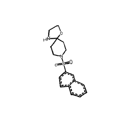 O=S(=O)(c1ccc2ccccc2c1)N1CCC2(CC1)NCCO2